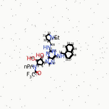 CCCN(C(=O)C(F)(F)F)[C@H]1C[C@@H](n2cnc3c(NCc4cccc5ccccc45)nc(NC[C@H]4CCCN4CC)nc32)[C@H](O)[C@@H]1O